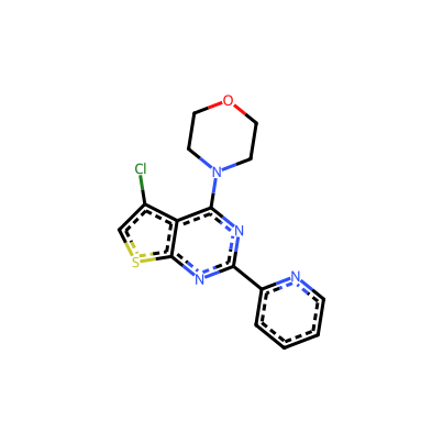 Clc1csc2nc(-c3ccccn3)nc(N3CCOCC3)c12